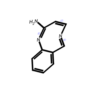 NC1=N/c2ccccc2/C=N/C=C\1